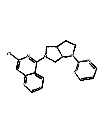 Clc1cc2ncccc2c(N2CC3CCN(c4ncccn4)C3C2)n1